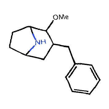 COC1C(Cc2ccccc2)CC2CCC1N2